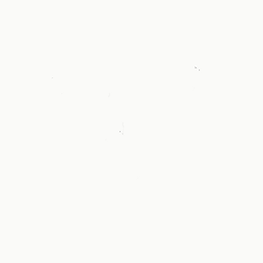 CN(C)C(=O)CC[S+]([O-])c1ccc(Cl)cc1N[S+]([O-])c1ccc(Cl)cc1F